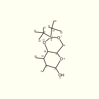 CC1C(O)OC2CO[Si](C(C)(C)C)(C(C)(C)C)OC2C1C